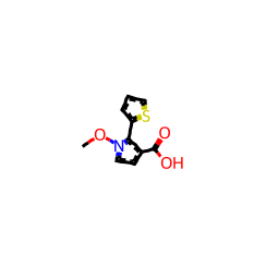 COn1ccc(C(=O)O)c1-c1cccs1